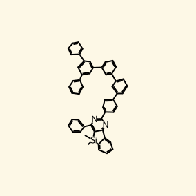 C[Si]1(C)c2ccccc2-c2nc(-c3ccc(-c4cccc(-c5cccc(-c6cc(-c7ccccc7)cc(-c7ccccc7)c6)c5)c4)cc3)nc(-c3ccccc3)c21